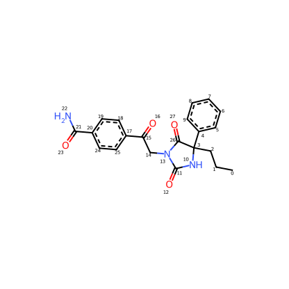 CCCC1(c2ccccc2)NC(=O)N(CC(=O)c2ccc(C(N)=O)cc2)C1=O